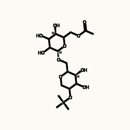 CC(=O)OCC1O[C@H](OCC2OCC(O[Si](C)(C)C)C(O)[C@@H]2O)C(O)C(O)[C@H]1O